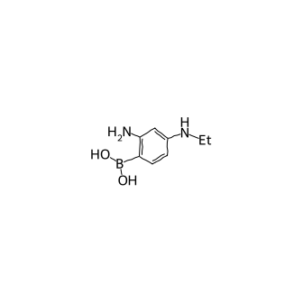 CCNc1ccc(B(O)O)c(N)c1